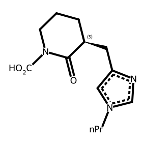 CCCn1cnc(C[C@@H]2CCCN(C(=O)O)C2=O)c1